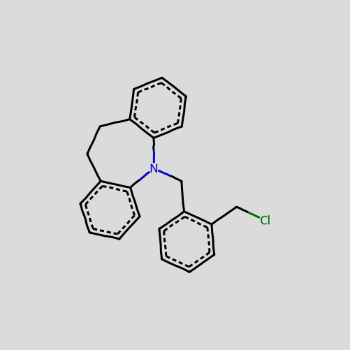 ClCc1ccccc1CN1c2ccccc2CCc2ccccc21